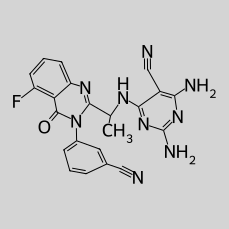 CC(Nc1nc(N)nc(N)c1C#N)c1nc2cccc(F)c2c(=O)n1-c1cccc(C#N)c1